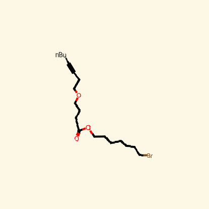 CCCCC#CCCOCCCC(=O)OCCCCCCCBr